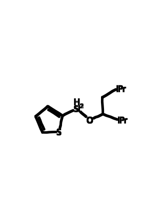 CC(C)CC(O[SiH2]c1cccs1)C(C)C